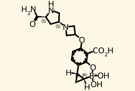 NC(=O)[C@@H]1C[C@H](N2CC(Oc3ccc4c(c3C(=O)O)O[B-](O)(O)[C@@H]3C[C@H]43)C2)CN1